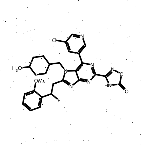 COc1ccccc1C(F)Cc1nc2nc(-c3noc(=O)[nH]3)nc(-c3cncc(Cl)c3)c2n1CC1CCC(C)CC1